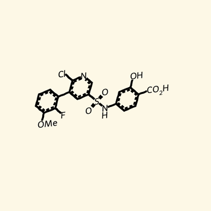 COc1cccc(-c2cc(S(=O)(=O)Nc3ccc(C(=O)O)c(O)c3)cnc2Cl)c1F